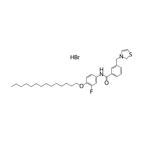 Br.CCCCCCCCCCCCCCOc1ccc(NC(=O)c2cccc(CN3C=CSC3)c2)cc1F